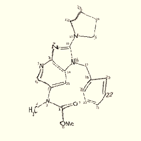 COC(=O)N(C)c1cnc2nc(N3CCCC3)n(Cc3ccccc3)c2c1